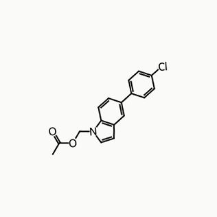 CC(=O)OCn1ccc2cc(-c3ccc(Cl)cc3)ccc21